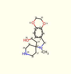 CN(Cc1ccc2c(c1)OCCO2)C1(CCO)CCNCC1